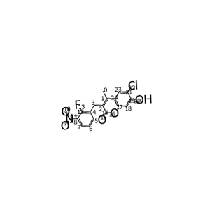 Cc1c(Cc2cccc([N+](=O)[O-])c2F)c(=O)oc2cc(O)c(Cl)cc12